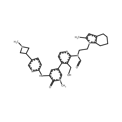 Cc1cc2c(n1CCN(C=O)c1nccc(-c3cc(Nc4ccc(C5CN(C)C5)cn4)c(=O)n(C)c3)c1CO)CCCC2